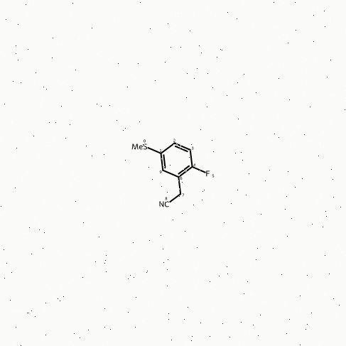 CSc1ccc(F)c(CC#N)c1